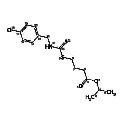 CC(C)OC(=O)CCCSC(=S)NCc1ccc(Cl)cc1